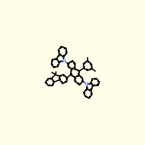 Cc1cc(C)cc(-c2c3ccc(-n4c5ccccc5c5ccccc54)cc3c(-c3ccc4c(c3)C(C)(C)c3ccccc3-4)c3ccc(-n4c5ccccc5c5ccccc54)cc23)c1